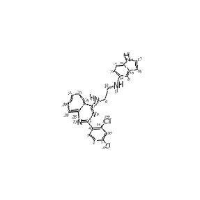 Clc1ccc(-c2nc(NCCNc3ccc4[nH]ccc4c3)c3ccccc3n2)c(Cl)c1